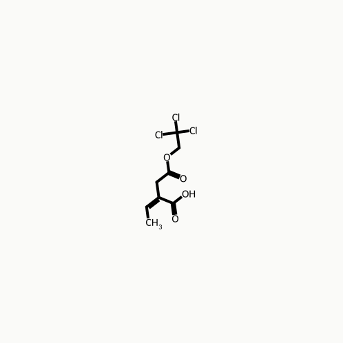 CC=C(CC(=O)OCC(Cl)(Cl)Cl)C(=O)O